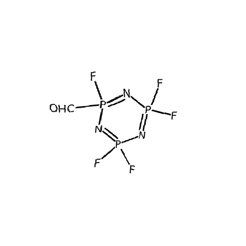 O=CP1(F)=NP(F)(F)=NP(F)(F)=N1